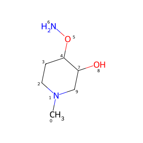 CN1CCC(ON)C(O)C1